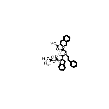 CC(C)(C)OC(=O)N1c2ccccc2C[C@@H]1C(=O)N(CCc1ccccc1)CC(=O)N1Cc2ccccc2C[C@@H]1C(=O)O